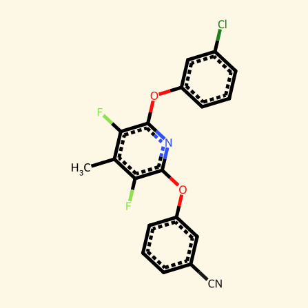 Cc1c(F)c(Oc2cccc(Cl)c2)nc(Oc2cccc(C#N)c2)c1F